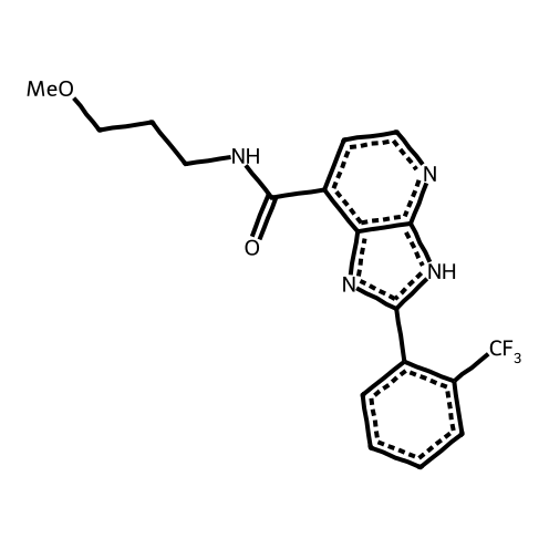 COCCCNC(=O)c1ccnc2[nH]c(-c3ccccc3C(F)(F)F)nc12